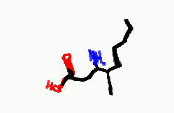 CCCC[C@@H](C)[C@H](N)CC(=O)O